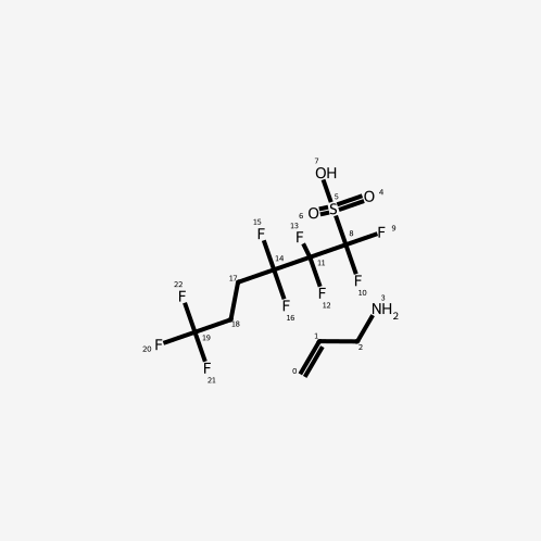 C=CCN.O=S(=O)(O)C(F)(F)C(F)(F)C(F)(F)CCC(F)(F)F